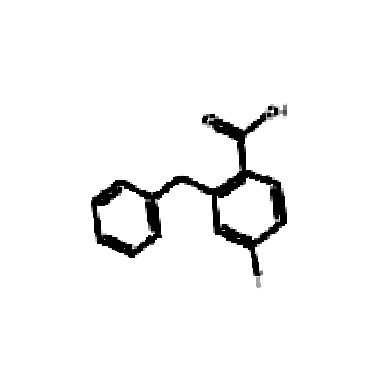 O=C(O)c1ccc(I)cc1Cc1ccccc1